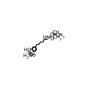 CC(C)(C)OC(=O)NCCCCCCc1ccc(S(N)(=O)=O)c(O)c1